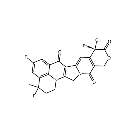 CC[C@@]1(O)C(=O)OCc2c1cc1n(c2=O)Cc2c-1c(=O)c1cc(F)cc3c1n2CCC3(C)F